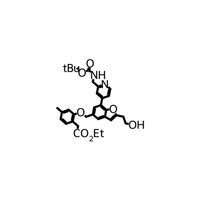 CCOC(=O)Cc1ccc(C)cc1OCc1cc(-c2ccnc(CNC(=O)OC(C)(C)C)c2)c2oc(CCO)cc2c1